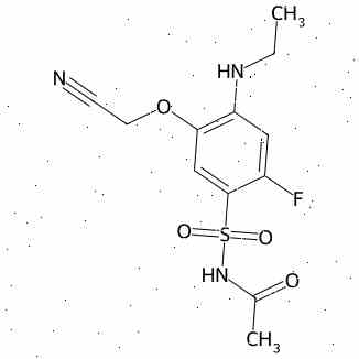 CCNc1cc(F)c(S(=O)(=O)NC(C)=O)cc1OCC#N